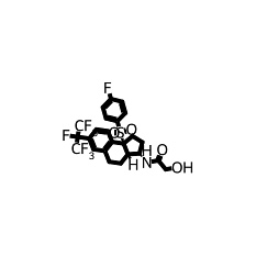 O=C(CO)N[C@H]1CC[C@@]2(S(=O)(=O)c3ccc(F)cc3)c3ccc(C(F)(C(F)(F)F)C(F)(F)F)cc3CC[C@@H]12